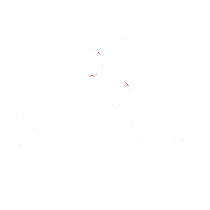 O=C(/C=C/c1ccc(O)c(O)c1)O[C@@H]1C[C@@H](O)[C@H](O)[C@H](OC(=O)/C=C/c2ccc(O)c(O)c2)C1